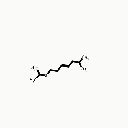 CC(C)C/C=C/CCSC(C)C